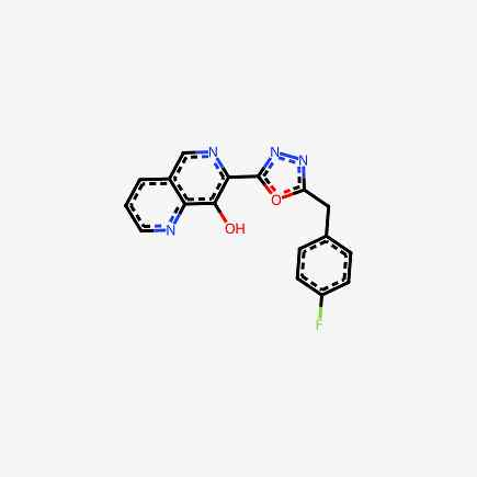 Oc1c(-c2nnc(Cc3ccc(F)cc3)o2)ncc2cccnc12